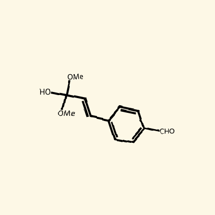 COC(O)(C=Cc1ccc(C=O)cc1)OC